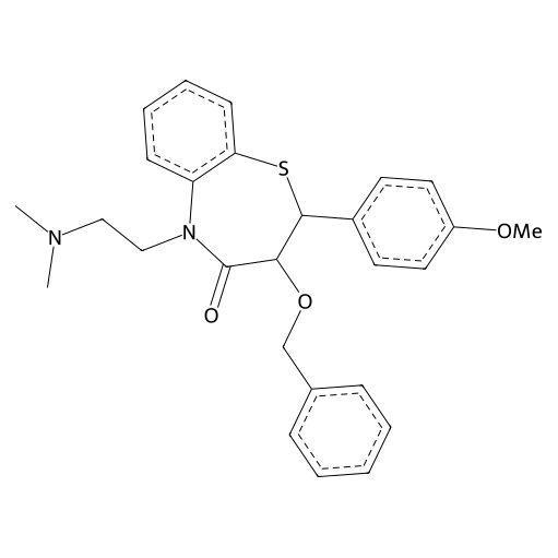 COc1ccc(C2Sc3ccccc3N(CCN(C)C)C(=O)C2OCc2ccccc2)cc1